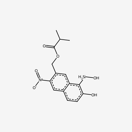 CC(C)C(=O)OCc1cc2c([SiH2]O)c(O)ccc2cc1[N+](=O)[O-]